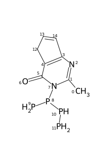 Cc1nc2c(c(=O)n1P(P)PP)CC=C2